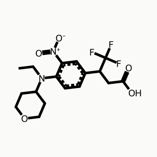 CCN(c1ccc(C(CC(=O)O)C(F)(F)F)cc1[N+](=O)[O-])C1CCOCC1